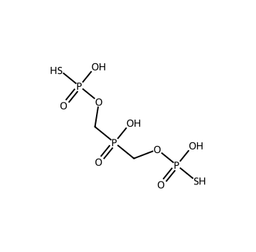 O=P(O)(COP(=O)(O)S)COP(=O)(O)S